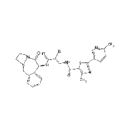 CCC(CNC(=O)c1sc(-c2ccc(C(F)(F)F)nc2)nc1C)C(=O)N[C@@H]1C(=O)N2CCCN2Cc2ccccc21